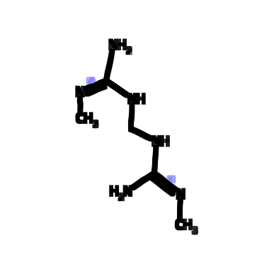 C/N=C(/N)NCN/C(N)=N/C